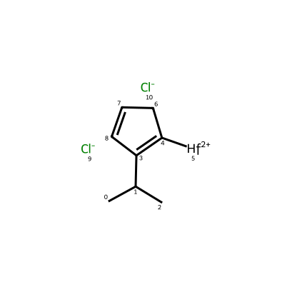 CC(C)C1=[C]([Hf+2])CC=C1.[Cl-].[Cl-]